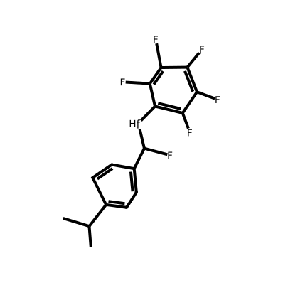 CC(C)c1ccc([CH](F)[Hf][c]2c(F)c(F)c(F)c(F)c2F)cc1